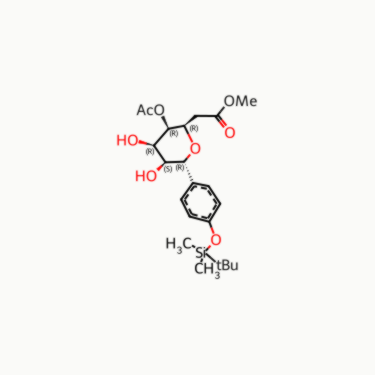 COC(=O)C[C@H]1O[C@H](c2ccc(O[Si](C)(C)C(C)(C)C)cc2)[C@@H](O)[C@@H](O)[C@H]1OC(C)=O